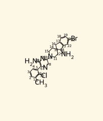 Cc1cccc(-c2ncc(N3CCC4(CC3)Cc3ccc(Br)cc3[C@H]4N)nc2N)c1Cl